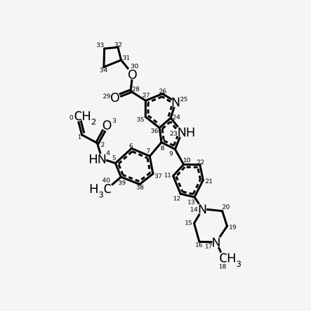 C=CC(=O)Nc1cc(-c2c(-c3ccc(N4CCN(C)CC4)cc3)[nH]c3ncc(C(=O)OC4CCC4)cc23)ccc1C